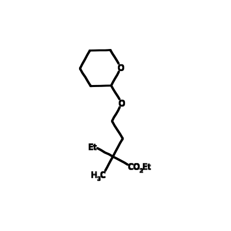 CCOC(=O)C(C)(CC)CCOC1CCCCO1